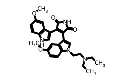 CCN(CC)CCn1cc(C2=C(c3c[nH]c4ccc(OC)cc34)C(=O)NC2=O)c2cc(OC)ccc21